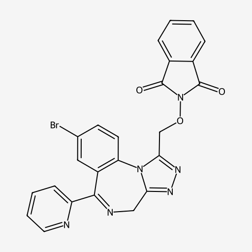 O=C1c2ccccc2C(=O)N1OCc1nnc2n1-c1ccc(Br)cc1C(c1ccccn1)=NC2